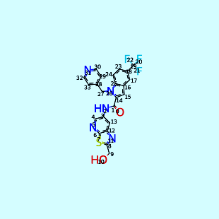 O=C(Nc1cnc2sc(CO)nc2c1)c1cc2cc(C(F)(F)F)ccc2n1Cc1ccncc1